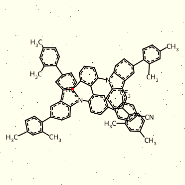 Cc1ccc(-c2ccc3c(c2)c2cc(-c4ccc(C)cc4C)ccc2n3-c2ccc(-c3ccc(C#N)cc3C(F)(F)F)cc2-c2c(C#N)cccc2-n2c3ccc(-c4ccc(C)cc4C)cc3c3cc(-c4ccc(C)cc4C)ccc32)c(C)c1